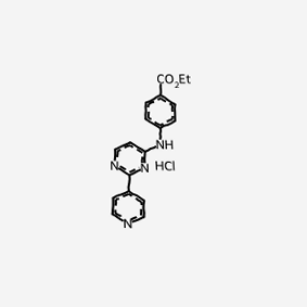 CCOC(=O)c1ccc(Nc2ccnc(-c3ccncc3)n2)cc1.Cl